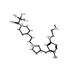 COCCOc1ccc(Br)c(CC2CCN(CCC3CCN(C(=O)C(F)(F)F)CC3)C2)c1